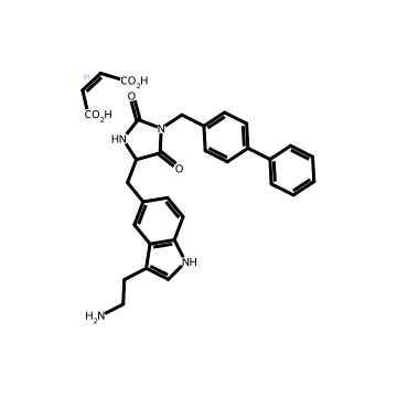 NCCc1c[nH]c2ccc(CC3NC(=O)N(Cc4ccc(-c5ccccc5)cc4)C3=O)cc12.O=C(O)/C=C\C(=O)O